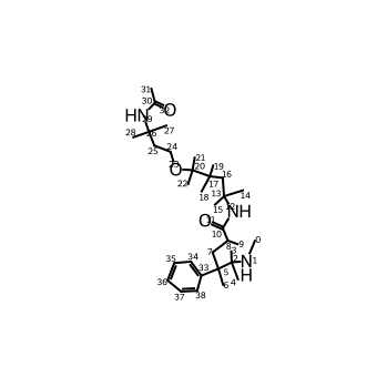 CNC(C)(C)C(C)(CC(C)C(=O)NC(C)(C)CC(C)(C)C(C)(C)OCCC(C)(C)NC(C)=O)c1ccccc1